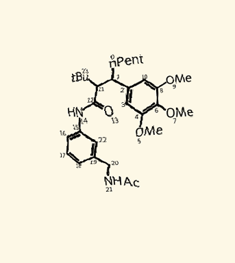 CCCCCC(c1cc(OC)c(OC)c(OC)c1)C(C(=O)Nc1cccc(CNC(C)=O)c1)C(C)(C)C